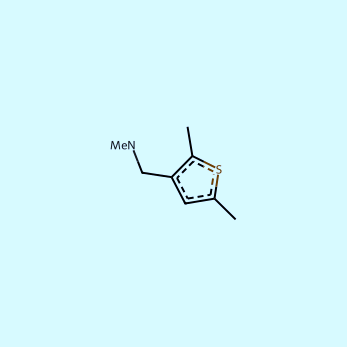 CNCc1cc(C)sc1C